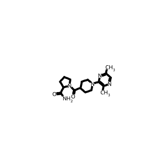 Cc1cnc(C)c(N2CCC(C(=O)N3CCCC3C(N)=O)CC2)n1